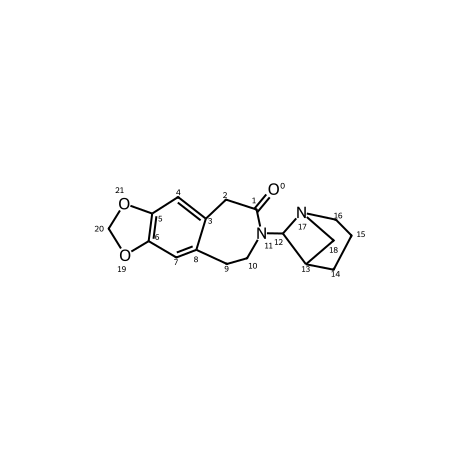 O=C1Cc2cc3c(cc2CCN1C1C2CCCN1C2)OCO3